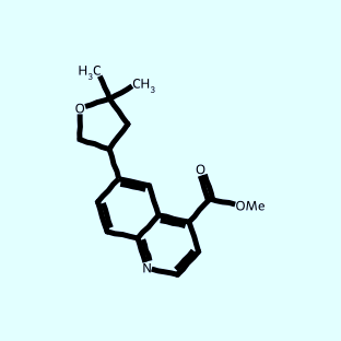 COC(=O)c1ccnc2ccc(C3COC(C)(C)C3)cc12